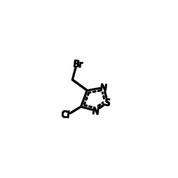 Clc1nsnc1CBr